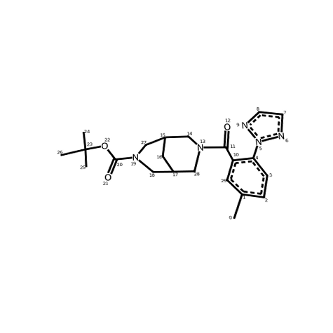 Cc1ccc(-n2nccn2)c(C(=O)N2CC3CC(CN(C(=O)OC(C)(C)C)C3)C2)c1